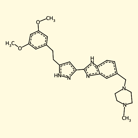 COc1cc(CCc2cc(-c3nc4cc(CN5CCN(C)CC5)ccc4[nH]3)n[nH]2)cc(OC)c1